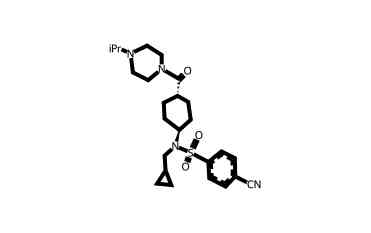 CC(C)N1CCN(C(=O)[C@H]2CC[C@H](N(CC3CC3)S(=O)(=O)c3ccc(C#N)cc3)CC2)CC1